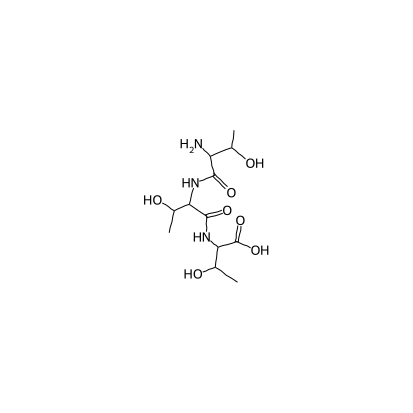 CC(O)C(N)C(=O)NC(C(=O)NC(C(=O)O)C(C)O)C(C)O